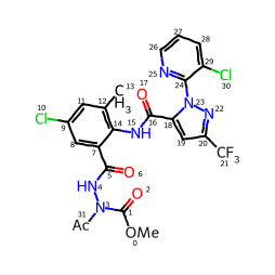 COC(=O)N(NC(=O)c1cc(Cl)cc(C)c1NC(=O)c1cc(C(F)(F)F)nn1-c1ncccc1Cl)C(C)=O